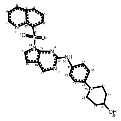 O=S(=O)(c1cccc2cccnc12)n1ccc2cnc(Nc3ccc(N4CCC(O)CC4)cc3)nc21